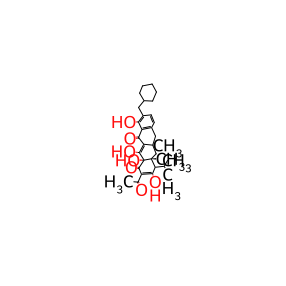 CC(=O)C1=C(O)C(C(C)C)[C@@]2(C)C[C@@]3(C)Cc4ccc(CC5CCCCC5)c(O)c4C(=O)C3=C(O)[C@@]2(O)C1=O